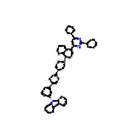 c1ccc(-c2cc(-c3ccc(-c4ccc(-c5ccc(-c6cccc(-n7c8ccccc8c8ccccc87)c6)cc5)cc4)c4ccccc34)nc(-c3ccccc3)n2)cc1